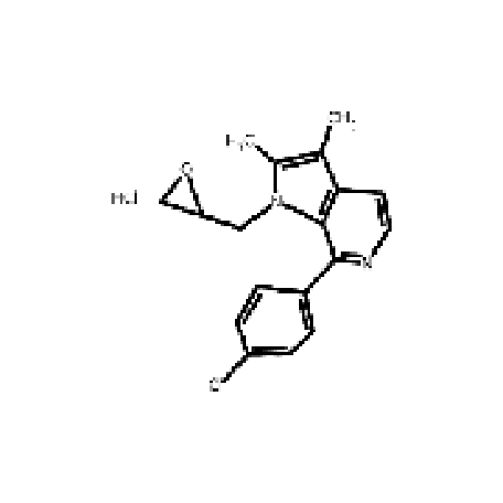 Cc1c(C)n(CC2CO2)c2c(-c3ccc(Cl)cc3)nccc12.Cl